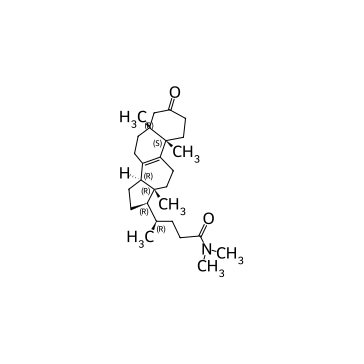 C[C@H](CCC(=O)N(C)C)[C@H]1CC[C@H]2C3=C(CC[C@]12C)[C@@]1(C)CCC(=O)C[C@@]1(C)CC3